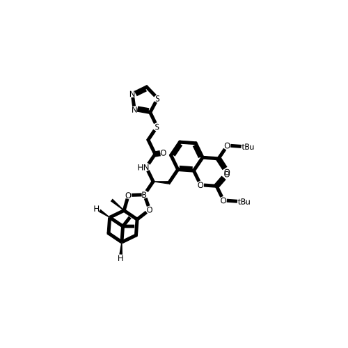 CC(C)(C)OC(=O)Oc1c(C[C@H](NC(=O)CSc2nncs2)B2OC3C[C@@H]4C[C@@H](C4(C)C)[C@]3(C)O2)cccc1C(=O)OC(C)(C)C